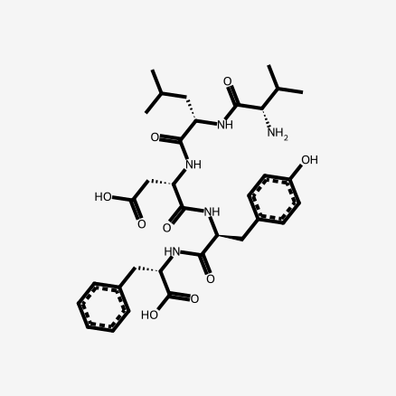 CC(C)C[C@H](NC(=O)[C@@H](N)C(C)C)C(=O)N[C@@H](CC(=O)O)C(=O)N[C@@H](Cc1ccc(O)cc1)C(=O)N[C@@H](Cc1ccccc1)C(=O)O